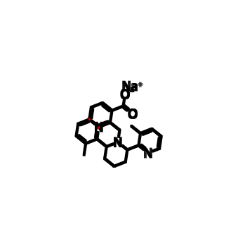 Cc1cccnc1C1CCCC(c2ncccc2C)N1Cc1ccccc1C(=O)[O-].[Na+]